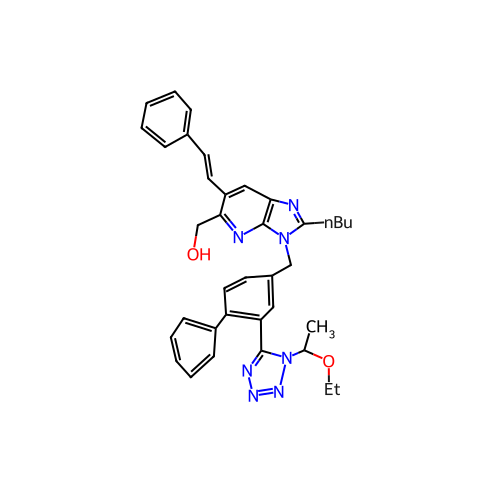 CCCCc1nc2cc(C=Cc3ccccc3)c(CO)nc2n1Cc1ccc(-c2ccccc2)c(-c2nnnn2C(C)OCC)c1